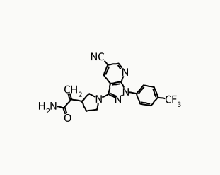 C=C(C(N)=O)C1CCN(c2nn(-c3ccc(C(F)(F)F)cc3)c3ncc(C#N)cc23)C1